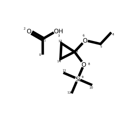 CC(=O)O.CCOC1(O[Si](C)(C)C)CC1